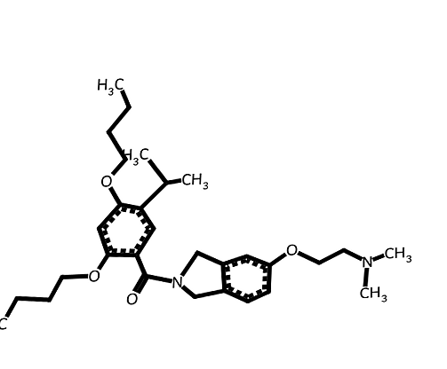 CCCCOc1cc(OCCCC)c(C(C)C)cc1C(=O)N1Cc2ccc(OCCN(C)C)cc2C1